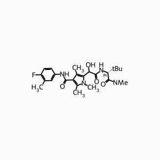 CNC(=O)[C@H](NC(=O)C(O)c1c(C)c(C(=O)Nc2ccc(F)c(C)c2)c(C)n1C)C(C)(C)C